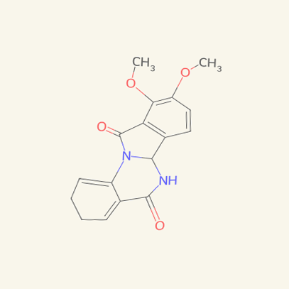 COc1ccc2c(c1OC)C(=O)N1C3=CCCC=C3C(=O)NC21